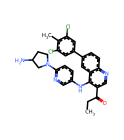 CCC(=O)c1cnc2ccc(-c3cc(Cl)c(C)c(Cl)c3)cc2c1Nc1ccc(N2CCC(N)C2)nc1